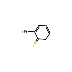 CC[CH]C1=CC=CCC1=S